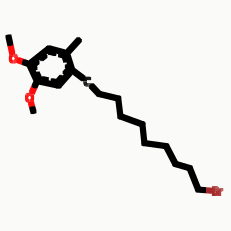 COc1cc(C)c(CCCCCCCCCCBr)cc1OC